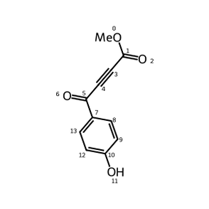 COC(=O)C#CC(=O)c1ccc(O)cc1